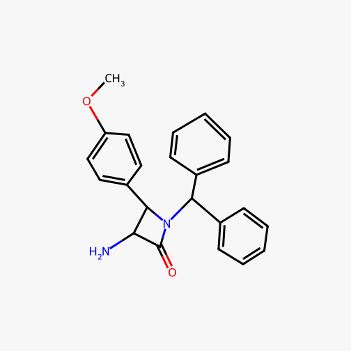 COc1ccc(C2C(N)C(=O)N2C(c2ccccc2)c2ccccc2)cc1